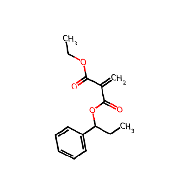 C=C(C(=O)OCC)C(=O)OC(CC)c1ccccc1